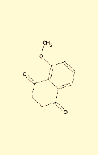 COc1cccc2c1C(=O)CCC2=O